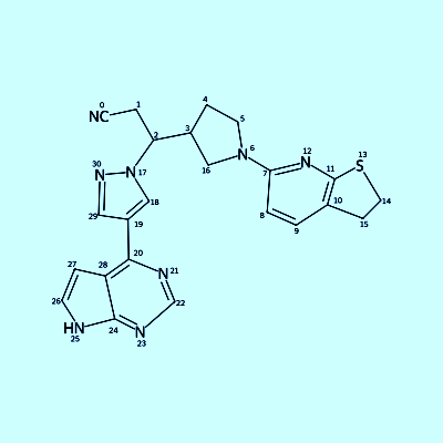 N#CCC(C1CCN(c2ccc3c(n2)SCC3)C1)n1cc(-c2ncnc3[nH]ccc23)cn1